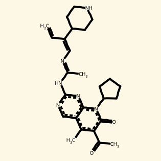 C=C/C(=C\N=C(/C)Nc1ncc2c(C)c(C(C)=O)c(=O)n(C3CCCC3)c2n1)C1CCNCC1